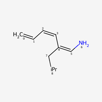 C=C/C=C\C(=C/N)CC(C)C